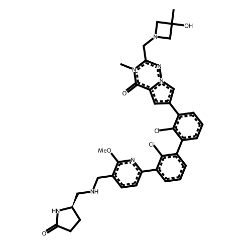 COc1nc(-c2cccc(-c3cccc(-c4cc5c(=O)n(C)c(CN6CC(C)(O)C6)nn5c4)c3Cl)c2Cl)ccc1CNC[C@H]1CCC(=O)N1